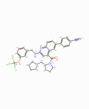 N#Cc1ccc(-c2ccc3nc(NCc4cccc(OC(F)(F)F)c4)cc(C(=O)N4CCC[C@H]4CN4CCCC4)c3c2)cc1